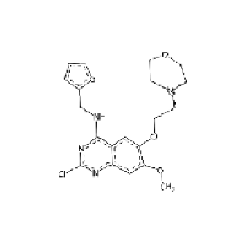 COc1cc2nc(Cl)nc(NCc3ccco3)c2cc1OCCN1CCOCC1